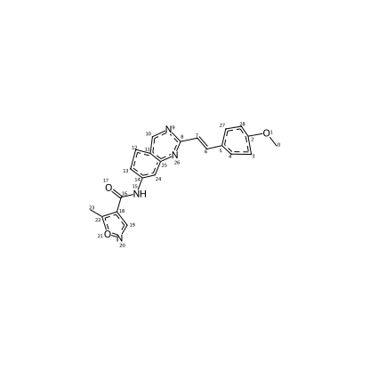 COc1ccc(C=Cc2ncc3ccc(NC(=O)c4cnoc4C)cc3n2)cc1